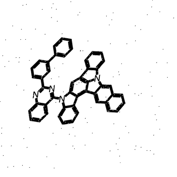 c1ccc(-c2cccc(-c3nc(-n4c5ccccc5c5c6c7cc8ccccc8cc7n7c8ccccc8c(cc54)c67)c4ccccc4n3)c2)cc1